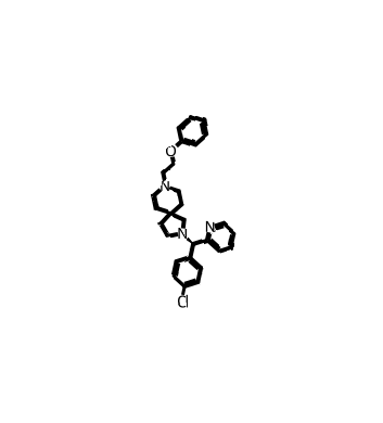 Clc1ccc([C@H](c2ccccn2)N2CCC3(CCN(CCOc4ccccc4)CC3)C2)cc1